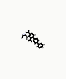 C/C=C\Nc1c(C(C)C)ccc(-c2ccc(-c3ccccc3)cc2)c1C(C)C